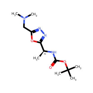 C[C@H](NC(=O)OC(C)(C)C)c1nnc(CN(C)C)o1